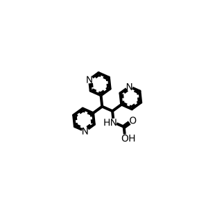 O=C(O)NC(c1cccnc1)C(c1cccnc1)c1cccnc1